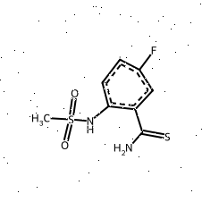 CS(=O)(=O)Nc1c[c]c(F)cc1C(N)=S